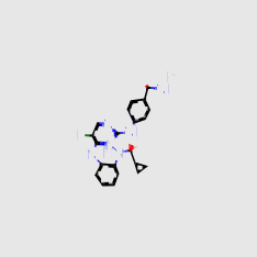 CC(C)NC(=O)c1ccc(Nc2ncc(F)c(Nc3ccccc3NC(=O)C3CC3)n2)cc1